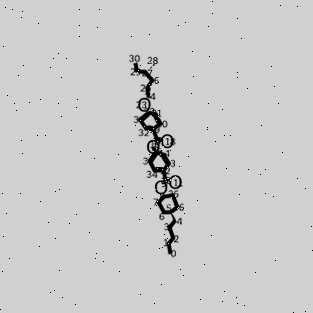 CCCCC[C@H]1CC[C@H](OC(=O)c2ccc(OC(=O)c3ccc(OCCC[C@@H](C)CC)cc3)cc2)CC1